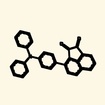 O=C1C(=O)c2c(-c3ccc(N(c4ccccc4)c4ccccc4)cc3)ccc3cccc1c23